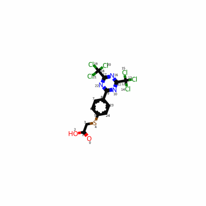 O=C(O)CSc1ccc(-c2nc(C(Cl)(Cl)Cl)nc(C(Cl)(Cl)Cl)n2)cc1